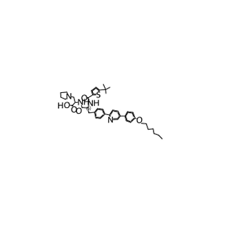 CCCCCCCOc1ccc(-c2ccc(-c3ccc(C[C@H](NC(=O)c4ccc(C(C)(C)C)s4)C(=O)NC(CN4CCCC4)C(=O)O)cc3)nc2)cc1